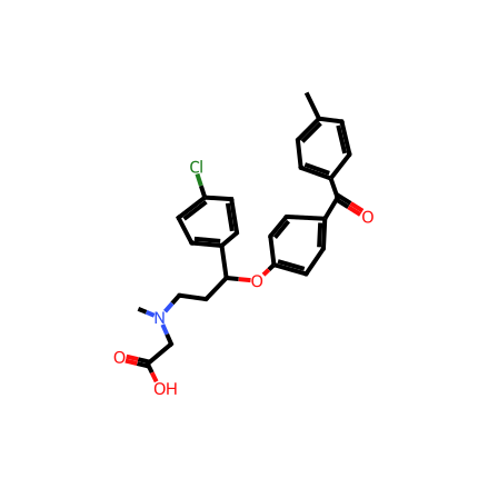 Cc1ccc(C(=O)c2ccc(OC(CCN(C)CC(=O)O)c3ccc(Cl)cc3)cc2)cc1